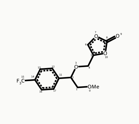 COCC(OCc1coc(=O)o1)c1ccc(C(F)(F)F)cc1